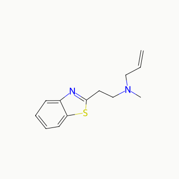 C=CCN(C)CCc1nc2ccccc2s1